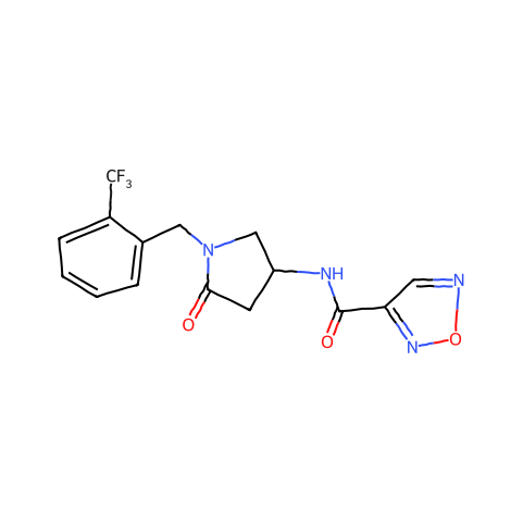 O=C(NC1CC(=O)N(Cc2ccccc2C(F)(F)F)C1)c1cnon1